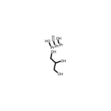 CC(C)O.CC(C)O.CC(C)O.OCC(O)CO